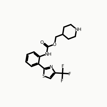 O=C(Nc1ccccc1-c1nc(C(F)(F)F)cs1)OCC1CCNCC1